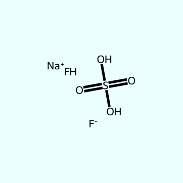 F.O=S(=O)(O)O.[F-].[Na+]